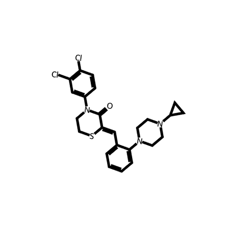 O=C1/C(=C/c2ccccc2N2CCN(C3CC3)CC2)SCCN1c1ccc(Cl)c(Cl)c1